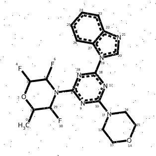 CC1OC(F)C(F)N(c2nc(N3CCOCC3)nc(-n3cnc4ccccc43)n2)C1F